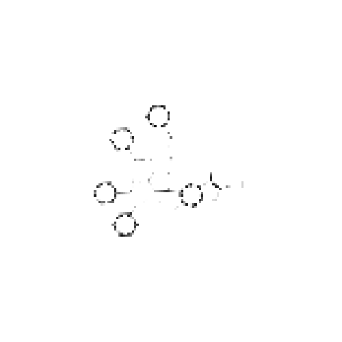 CC1=C(I)c2cc3c(cc2C1)CO[C@]31O[C@H](COCc2ccccc2)[C@@H](OCc2ccccc2)[C@H](OCc2ccccc2)[C@H]1OCc1ccccc1